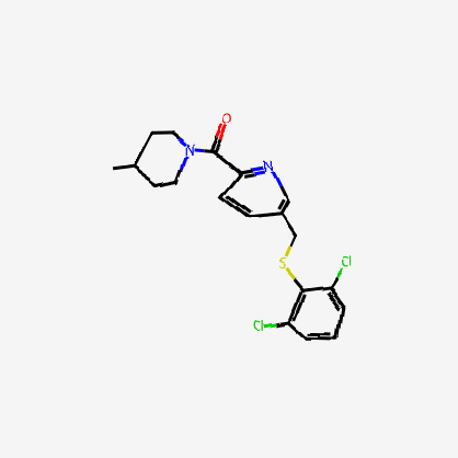 CC1CCN(C(=O)c2ccc(CSc3c(Cl)cccc3Cl)cn2)CC1